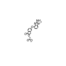 COC(=O)CCN1Cc2cc(Oc3cccc4c3nc(N)n4C)ccc2C1=O